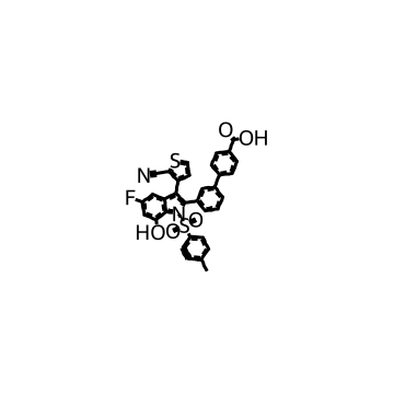 Cc1c#cc(S(=O)(=O)n2c(-c3cccc(-c4ccc(C(=O)O)cc4)c3)c(-c3ccsc3C#N)c3cc(F)cc(O)c32)cc1